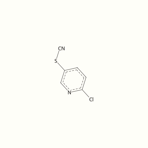 N#CSc1ccc(Cl)nc1